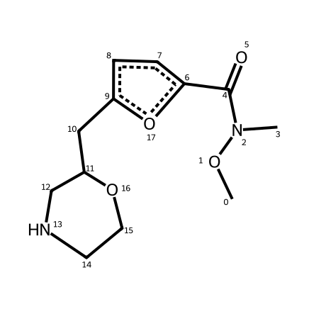 CON(C)C(=O)c1ccc(CC2CNCCO2)o1